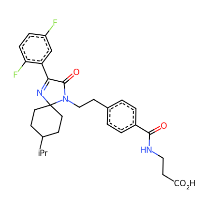 CC(C)C1CCC2(CC1)N=C(c1cc(F)ccc1F)C(=O)N2CCc1ccc(C(=O)NCCC(=O)O)cc1